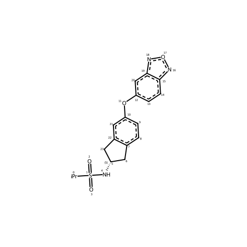 CC(C)S(=O)(=O)N[C@H]1Cc2ccc(Oc3ccc4nonc4c3)cc2C1